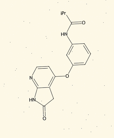 CC(C)C(=O)Nc1cccc(Oc2ccnc3c2CC(=O)N3)c1